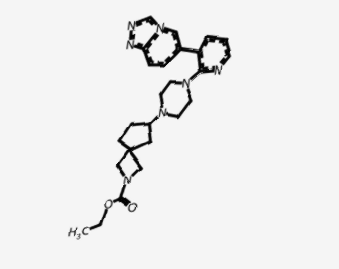 CCOC(=O)N1CC2(CCC(N3CCN(c4ncccc4-c4ccc5nncn5c4)CC3)C2)C1